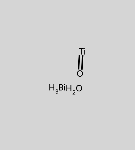 O.[BiH3].[O]=[Ti]